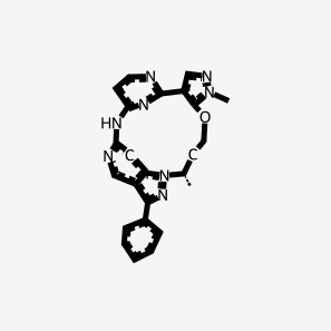 C[C@H]1CCOc2c(cnn2C)-c2nccc(n2)Nc2cc3c(cn2)c(-c2ccccc2)nn31